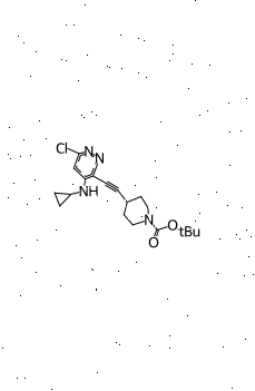 CC(C)(C)OC(=O)N1CCC(C#Cc2nnc(Cl)cc2NC2CC2)CC1